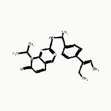 C/C=C(\CC)c1ccc([C@H](C)Nc2ncc3ccc(=O)n(C(C)C)c3n2)cc1